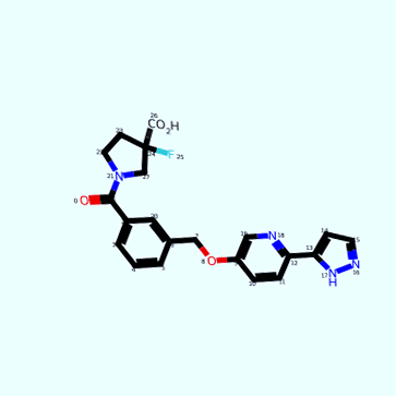 O=C(c1cccc(COc2ccc(-c3ccn[nH]3)nc2)c1)N1CCC(F)(C(=O)O)C1